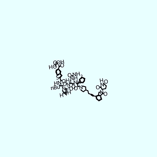 CCCC[C@H](NC(=O)c1cc2cc(C(=O)P(=O)(O)O)ccc2s1)C(=O)N1C[C@@H]2C[C@@H]2[C@H]1C(=O)N[C@@H](CNC(N)=O)C(=O)N[C@H](C(=O)N1CCC(CCC#Cc2cccc3c2CN(C2CCC(=O)NC2=O)C3=O)CC1)c1ccccc1